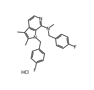 Cc1c(C)n(Cc2ccc(F)cc2)c2c(N(C)Cc3ccc(F)cc3)nccc12.Cl